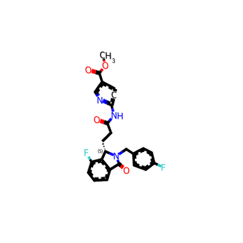 COC(=O)c1ccc(NC(=O)CC[C@H]2c3c(F)cccc3C(=O)N2Cc2ccc(F)cc2)nc1